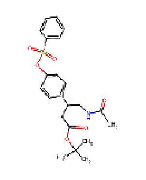 CC(=O)NCC(CC(=O)OC(C)(C)C)c1ccc(OS(=O)(=O)c2ccccc2)cc1